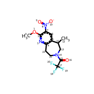 COc1nc2c(cc1[N+](=O)[O-])C(C)CN(C(=O)C(F)(F)F)CC2